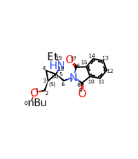 CCCCOC[C@H]1C[C@]1(CN1C(=O)c2ccccc2C1=O)NCC